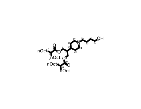 CCCCCCCCC(CCCCCCCC)C(=O)OCC(COC(=O)C(CCCCCCCC)CCCCCCCC)C1CCN(CCCCO)CC1